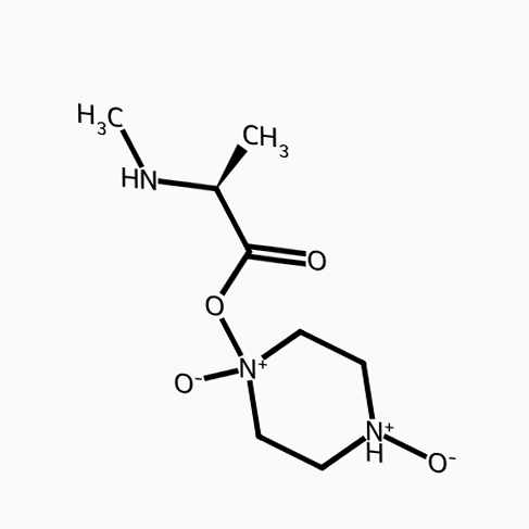 CN[C@@H](C)C(=O)O[N+]1([O-])CC[NH+]([O-])CC1